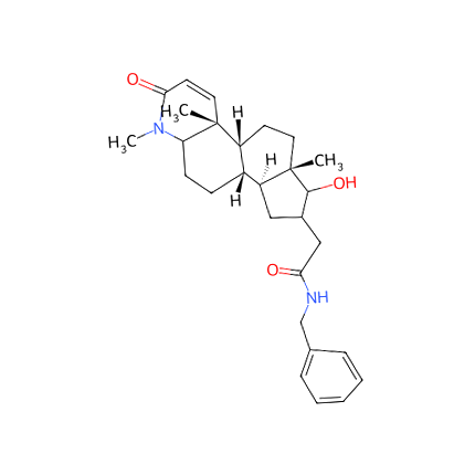 CN1C(=O)C=C[C@@]2(C)C1CC[C@@H]1[C@H]2CC[C@]2(C)C(O)C(CC(=O)NCc3ccccc3)C[C@@H]12